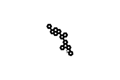 c1ccc(-c2ccc3ccc4c(-c5ccc(-c6ccc7c(c6)c6ccccc6c6c7ccc7c8ccccc8sc76)c6ccccc56)ccc5ccc2c3c54)cc1